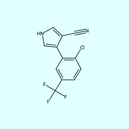 N#Cc1c[nH]cc1-c1cc(C(F)(F)F)ccc1Cl